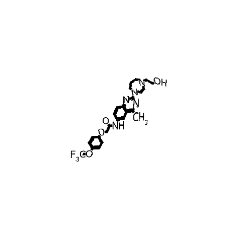 Cc1nc(N2CCCN(CCO)CC2)nc2ccc(NC(=O)COc3ccc(OC(F)(F)F)cc3)cc12